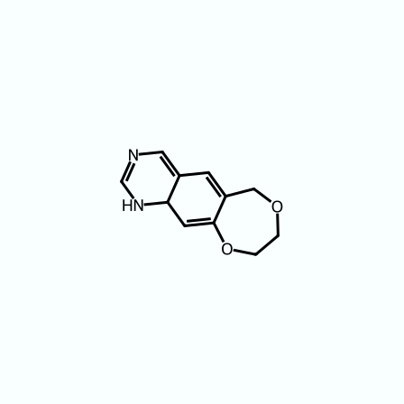 C1=NC=C2C=C3COCCOC3=CC2N1